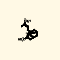 CC(=CCC12CC3CC(C1)CC(C(=O)O)(C3)C2)C(=O)O